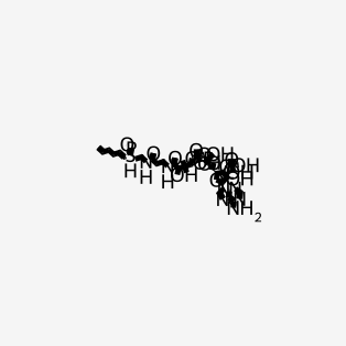 C=CCCC=C[SH](CCNC(=O)CCNC(=O)C(O)C(C)(C)COP(=O)(O)OP(=O)(O)OC[C@H]1O[C@@H](n2cnc3c(N)ncnc32)[C@H](O)[C@@H]1OP(=O)(O)O)P=O